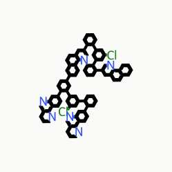 Clc1cc(-c2ccccc2-c2cnc3c(ccc4ccccc43)c2)cc(-c2ccccc2-c2cnc3c(ccc4cc(-c5ccc(-c6ccc7c(c6)ncc6cccnc67)c(-c6cc(Cl)cc(-c7ccccc7-c7ccc8c(c7)ncc7cccnc78)c6)c5)ccc43)c2)c1